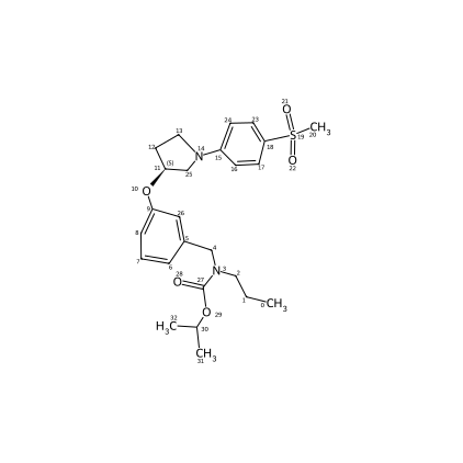 CCCN(Cc1cccc(O[C@H]2CCN(c3ccc(S(C)(=O)=O)cc3)C2)c1)C(=O)OC(C)C